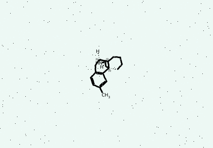 Cc1ccc2c(c1)[C@]13CCCC[C@@H]1[C@H](C2)NCC3